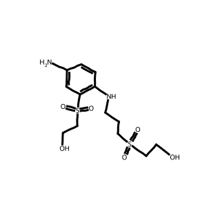 Nc1ccc(NCCCS(=O)(=O)CCO)c(S(=O)(=O)CCO)c1